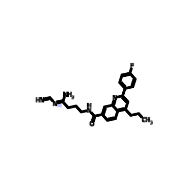 CCCc1cc(-c2ccc(F)cc2)nc2cc(C(=O)NCCC/C(N)=N/C=N)ccc12